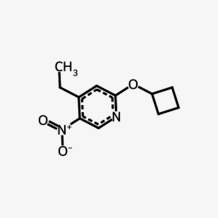 CCc1cc(OC2CCC2)ncc1[N+](=O)[O-]